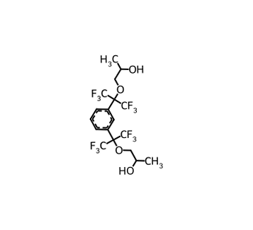 CC(O)COC(c1cccc(C(OCC(C)O)(C(F)(F)F)C(F)(F)F)c1)(C(F)(F)F)C(F)(F)F